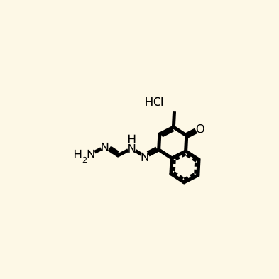 CC1=CC(=NNC=NN)c2ccccc2C1=O.Cl